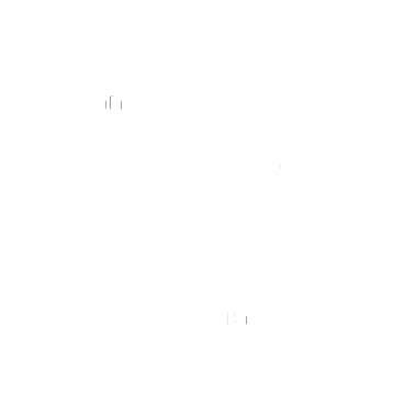 CC(C)Cc1cccc(Oc2ccc(C(C)(C)C)cc2)c1